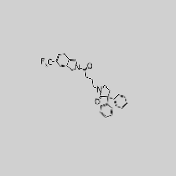 O=C(CCCN1CCC(c2ccccc2)(c2ccccc2)C1=O)N1C=C2CC=C(C(F)(F)F)C=C2C1